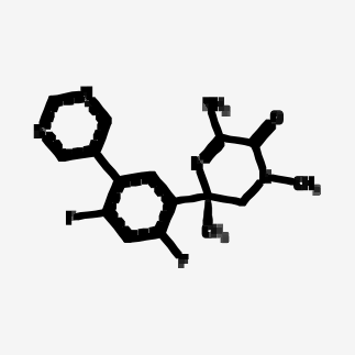 CN1C[C@](C)(c2cc(-c3cncnc3)c(F)cc2F)N=C(N)C1=O